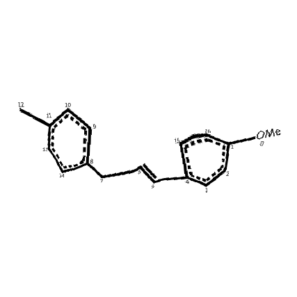 COc1ccc(C=CCc2ccc(C)cc2)cc1